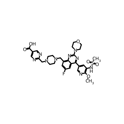 COc1ncc(-c2nc(N3CCOCC3)nc3c(CN4CCN(Cc5ncc(C(=O)O)cn5)CC4)cc(F)cc23)cc1NS(C)(=O)=O